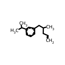 C=CCC(C)Cc1cccc(C(C)C)c1